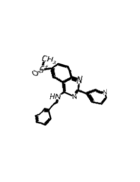 C[S+]([O-])c1ccc2nc(-c3cccnc3)nc(NCc3ccccc3)c2c1